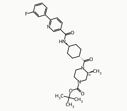 C[C@H]1CN(C(=O)OC(C)(C)C)CCN1C(=O)[C@H]1CC[C@H](NC(=O)c2ccc(-c3cccc(F)c3)nc2)CC1